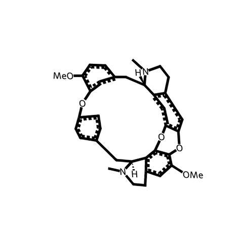 COc1ccc2cc1Oc1ccc(cc1)C[C@H]1c3c(cc(OC)c4c3Oc3cc5c(cc3O4)CCN(C)[C@H]5C2)CCN1C